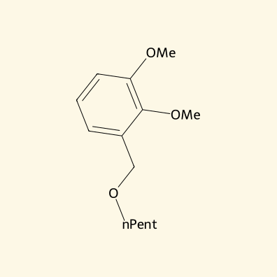 [CH2]CCCCOCc1cccc(OC)c1OC